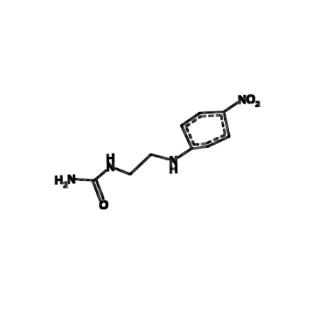 NC(=O)NCCNc1ccc([N+](=O)[O-])cc1